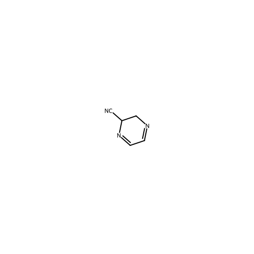 N#CC1CN=CC=N1